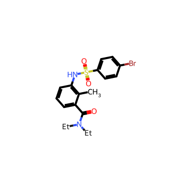 CCN(CC)C(=O)c1cccc(NS(=O)(=O)c2ccc(Br)cc2)c1C